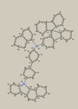 c1ccc2c(c1)-c1ccccc1C21c2ccccc2-c2ccc(N(c3ccc(-c4ccc(-n5c6ccccc6c6ccc7ccccc7c65)cc4)cc3)c3cccc4ccccc34)cc21